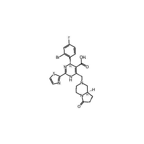 O=C(O)C1=C(CN2CCN3C(=O)CC[C@@H]3C2)NC(c2nccs2)=N[C@H]1c1ccc(F)cc1Br